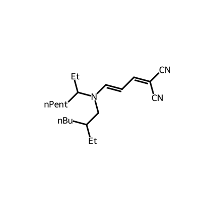 CCCCCC(CC)N(/C=C/C=C(C#N)C#N)CC(CC)CCCC